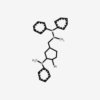 CC(C)C1CCC(CN(C)P(c2ccccc2)c2ccccc2)CC1N(C)c1ccccc1